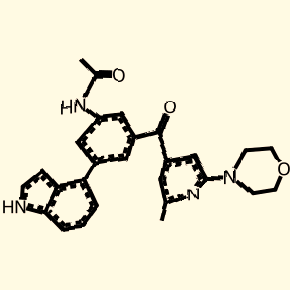 CC(=O)Nc1cc(C(=O)c2cc(C)nc(N3CCOCC3)c2)cc(-c2cccc3[nH]ccc23)c1